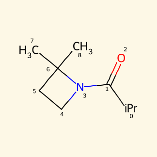 CC(C)C(=O)N1CCC1(C)C